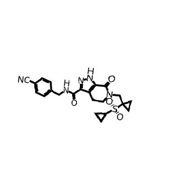 N#Cc1ccc(CNC(=O)c2n[nH]c3c2CCN(CC2(S(=O)(=O)C4CC4)CC2)C3=O)cc1